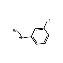 CCc1cccc(NC(C)(C)C)c1